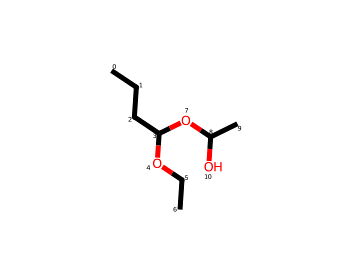 CCCC(OCC)OC(C)O